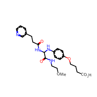 COCCNC(=O)C(NC(=O)CCc1cccnc1)Nc1ccc(OCCCC(=O)O)cc1